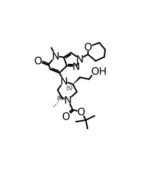 C[C@@H]1CN(c2cc(=O)n(C)c3cn(C4CCCCO4)nc23)[C@@H](CCO)CN1C(=O)OC(C)(C)C